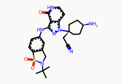 CC(C)(C)N1Cc2cc(Nc3nn([C@]4(CC#N)CC[C@@H](N)CC4)c4cc[nH]c(=O)c34)ccc2S1(=O)=O